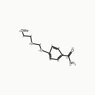 COCCOCOc1ccc(C(N)=O)cc1